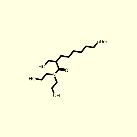 CCCCCCCCCCCCCCCCC(CO)C(=O)N(CCO)CCO